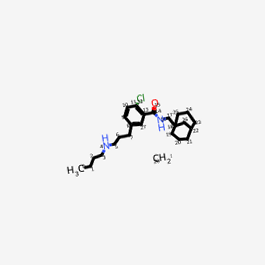 CCCCNCCCc1ccc(Cl)c(C(=O)NCC23CCCC(CCC2)C3)c1.[CH2]